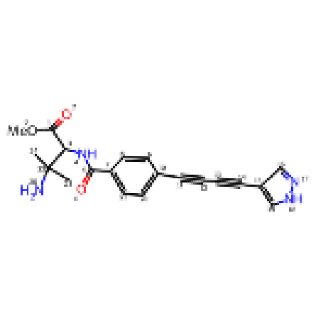 COC(=O)C(NC(=O)c1ccc(C#CC#Cc2cn[nH]c2)cc1)C(C)(C)N